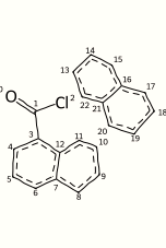 O=C(Cl)c1cccc2ccccc12.c1ccc2ccccc2c1